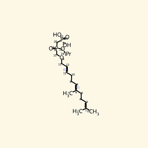 CC(C)=CCC/C(C)=C/CC/C=C/COCP(=O)(CP(=O)(O)O)OC(C)C